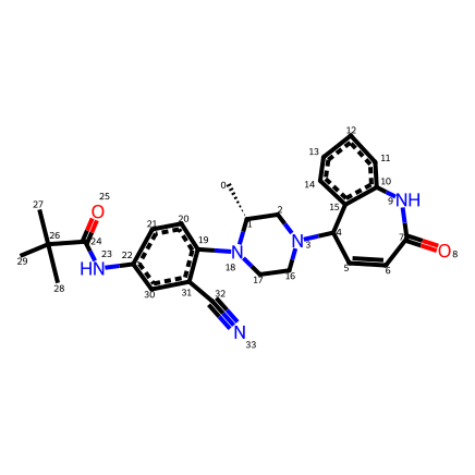 C[C@@H]1CN(C2C=CC(=O)Nc3ccccc32)CCN1c1ccc(NC(=O)C(C)(C)C)cc1C#N